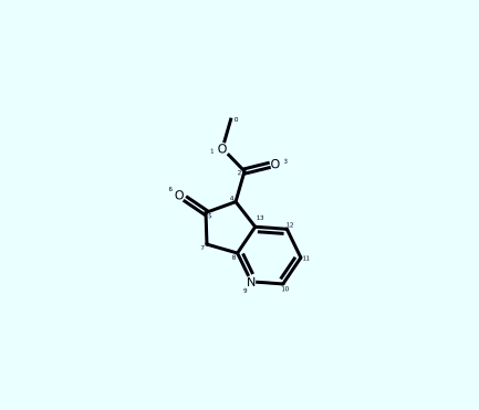 COC(=O)C1C(=O)Cc2ncccc21